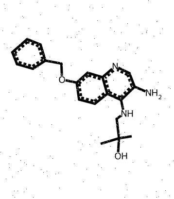 CC(C)(O)CNc1c(N)cnc2cc(OCc3ccccc3)ccc12